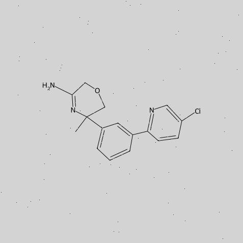 CC1(c2cccc(-c3ccc(Cl)cn3)c2)COCC(N)=N1